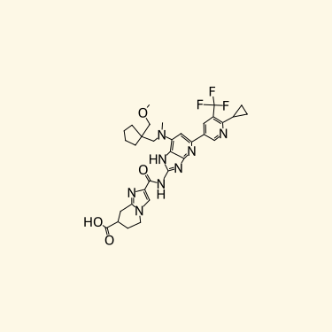 COCC1(CN(C)c2cc(-c3cnc(C4CC4)c(C(F)(F)F)c3)nc3nc(NC(=O)c4cn5c(n4)CC(C(=O)O)CC5)[nH]c23)CCCC1